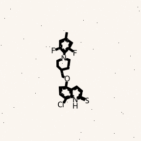 Cc1cc(F)c(N2CCC(COc3ccc(Cl)c4[nH]c(=S)ccc34)CC2)c(F)c1